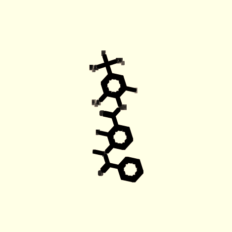 CN(C(=O)c1ccccc1)c1cccc(C(=O)Nc2c(I)cc(C(F)(C(F)(F)F)C(F)(F)F)cc2C(F)(F)F)c1F